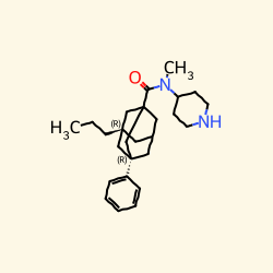 CCC[C@]12CC3CC(C(=O)N(C)C4CCNCC4)(C1)C[C@@](c1ccccc1)(C3)C2